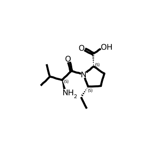 CC[C@H]1CC[C@@H](C(=O)O)N1C(=O)[C@@H](N)C(C)C